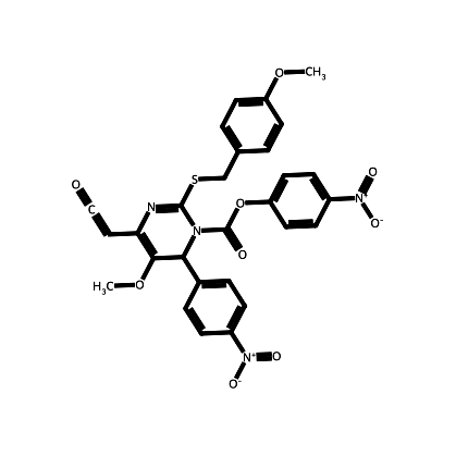 COC1=C(C=C=O)N=C(SCc2ccc(OC)cc2)N(C(=O)Oc2ccc([N+](=O)[O-])cc2)C1c1ccc([N+](=O)[O-])cc1